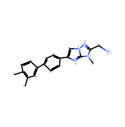 Cc1ccc(-c2ccc(-c3cn4nc(CN)n(C)c4n3)cc2)cc1C